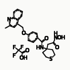 Cc1cc(COc2ccc(C(=O)NC3(CC(=O)NO)CCSCC3)cc2)c2ccccc2n1.O=C(O)C(F)(F)F